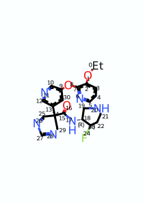 CCOc1cccnc1Oc1cncc(C2(C(=O)N[C@@H]3CNCC[C@H]3F)C=NC=NC2)c1